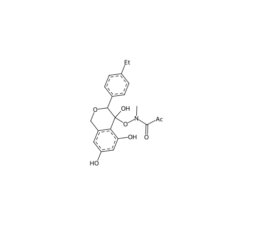 CCc1ccc(C2OCc3cc(O)cc(O)c3C2(O)ON(C)C(=O)C(C)=O)cc1